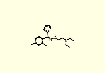 CCN(CC)CCON=C(c1ccco1)c1ccc(C)cc1C